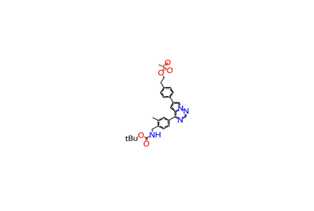 Cc1cc(-c2ncnn3cc(-c4ccc(CCOS(C)(=O)=O)cc4)cc23)ccc1CNC(=O)OC(C)(C)C